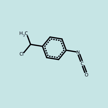 CC(Cl)c1ccc(N=C=O)cc1